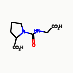 O=C(O)CNC(=O)N1CCCC1C(=O)O